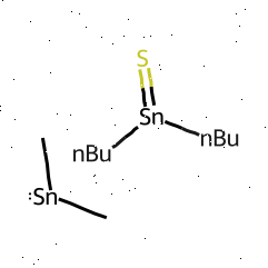 CCC[CH2][Sn](=[S])[CH2]CCC.[CH3][Sn][CH3]